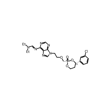 CCN(C=Nc1ncnc2c1ncn2CCOC[P@@]1(=O)OCC[C@@H](c2cccc(Cl)c2)O1)CC